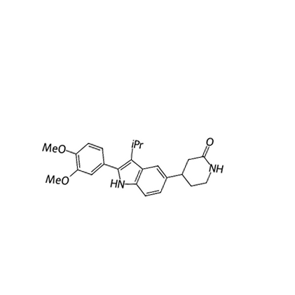 COc1ccc(-c2[nH]c3ccc(C4CCNC(=O)C4)cc3c2C(C)C)cc1OC